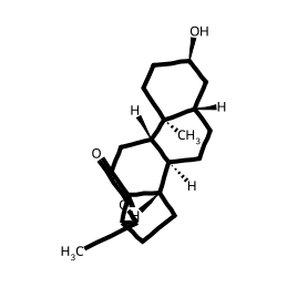 CC1OC(=O)[C@]23CC[C@H]4[C@@H](CC[C@H]5C[C@H](O)CC[C@@]54C)[C@@H]2CCC13